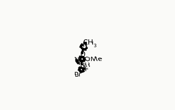 COc1cc2c(cc1OCC1CCN(C)CC1)N=CCN2Nc1ccc(Br)cc1F